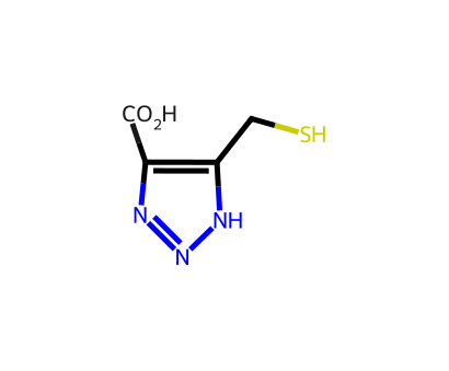 O=C(O)c1nn[nH]c1CS